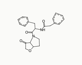 O=C(Cc1ccccc1)NC(Cc1ccccc1)C(=O)N1CCC2OCC(=O)C21